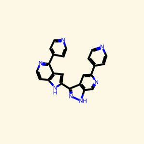 c1cc(-c2cc3c(-c4cc5c(-c6ccncc6)nccc5[nH]4)n[nH]c3cn2)ccn1